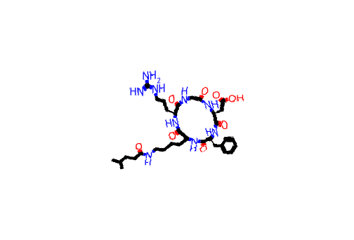 CC(C)CCC(=O)NCCCCC1NC(=O)[C@H](Cc2ccccc2)NC(=O)[C@H](CC(=O)O)NC(=O)CNC(=O)[C@H](CCCNC(=N)N)NC1=O